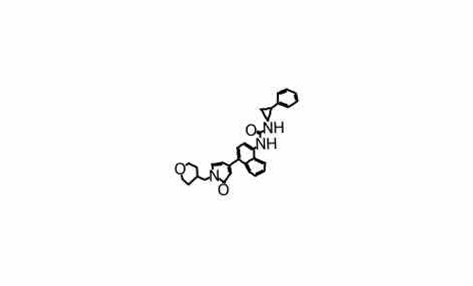 O=C(Nc1ccc(-c2ccn(CC3CCOCC3)c(=O)c2)c2ccccc12)NC1CC1c1ccccc1